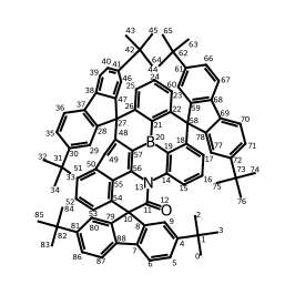 CC(C)(C)c1ccc2c(c1)C1(C(=O)N3c4cccc5c4B4c6c(cccc6C6(c7cc(C(C)(C)C)ccc7-c7ccc(C(C)(C)C)cc76)c6cc7cccc1c7c3c64)C51c3cc(C(C)(C)C)ccc3-c3ccc(C(C)(C)C)cc31)c1cc(C(C)(C)C)ccc1-2